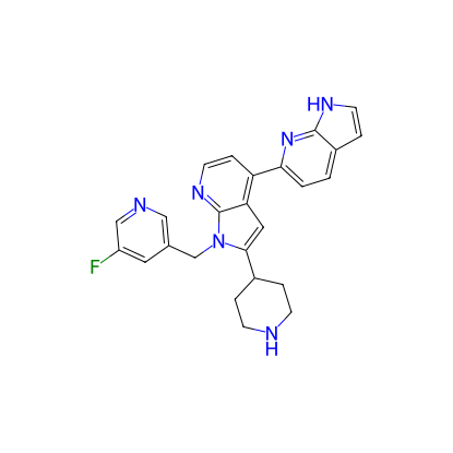 Fc1cncc(Cn2c(C3CCNCC3)cc3c(-c4ccc5cc[nH]c5n4)ccnc32)c1